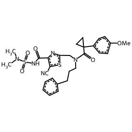 COc1ccc(C2(C(=O)N(CCCc3ccccc3)Cc3nc(C(=O)NS(=O)(=O)N(C)C)c(C#N)s3)CC2)cc1